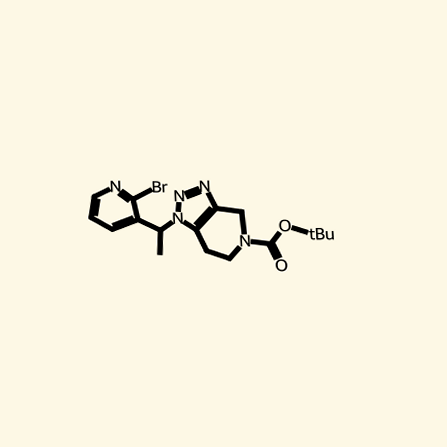 CC(c1cccnc1Br)n1nnc2c1CCN(C(=O)OC(C)(C)C)C2